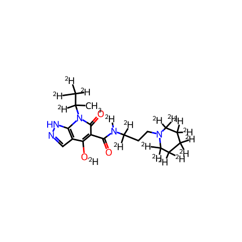 [2H]Oc1c(C(=O)N([2H])C([2H])([2H])CCN2C([2H])([2H])C([2H])([2H])C([2H])([2H])C([2H])([2H])C2([2H])[2H])c(=O)n(C([2H])(C)C([2H])([2H])[2H])c2[nH]ncc12